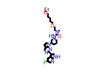 CCOCCCCCOCCN(C)C(=O)NN1CCC[C@H](n2ccc3cnc(-c4c[nH]c5ncc(F)cc45)nc32)C1